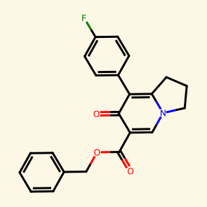 O=C(OCc1ccccc1)c1cn2c(c(-c3ccc(F)cc3)c1=O)CCC2